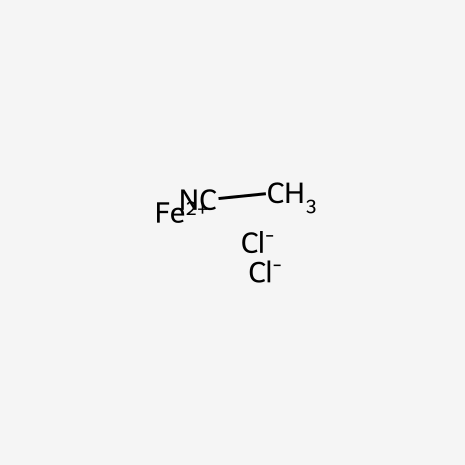 CC#N.[Cl-].[Cl-].[Fe+2]